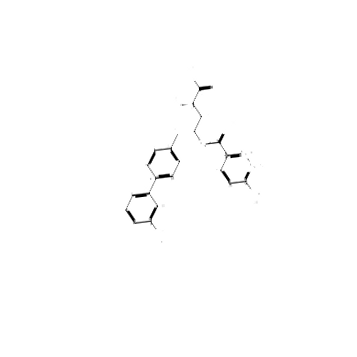 O=C(N[C@H](Cc1ccc(-c2cccc(Cl)c2)cc1)C[C@@H](O)C(=O)O)c1ccc(O)nn1